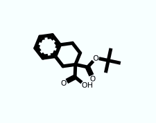 CC(C)(C)OC(=O)C1(C(=O)O)CCc2ccccc2C1